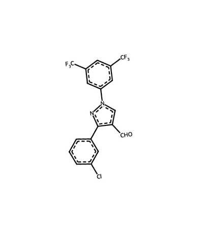 O=Cc1cn(-c2cc(C(F)(F)F)cc(C(F)(F)F)c2)nc1-c1cccc(Cl)c1